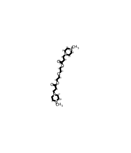 CN1CCN(CCC(=O)OCCOCCOC(=O)CCN2CCN(C)CC2)CC1